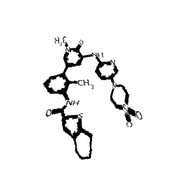 Cc1c(NC(=O)c2cc3c(s2)CCCCC3)cccc1-c1cc(Nc2ccc(N3CCS(=O)(=O)CC3)cn2)c(=O)n(C)c1